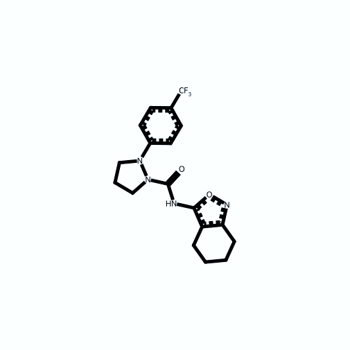 O=C(Nc1onc2c1CCCC2)N1CCCN1c1ccc(C(F)(F)F)cc1